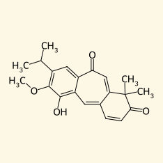 COc1c(C(C)C)cc2c(=O)cc3c(cc2c1O)C=CC(=O)C3(C)C